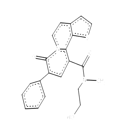 CN(CCO)C(=O)c1cc(-c2ccccc2)c(=O)n2ccc3ccsc3c12